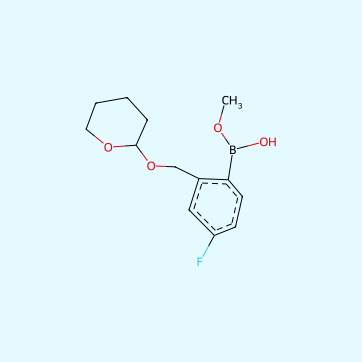 COB(O)c1ccc(F)cc1COC1CCCCO1